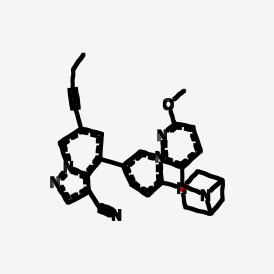 CCC#Cc1cc(-c2ccc(N3CC4CC(C3)N4Cc3ccc(OC)nc3)nc2)c2c(C#N)cnn2c1